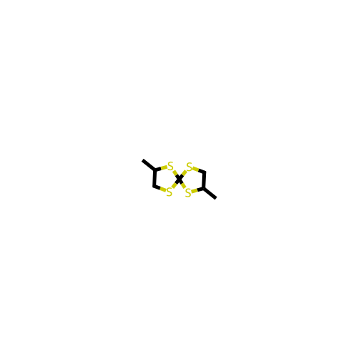 CC1CSC2(SCC(C)S2)S1